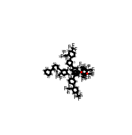 FC(F)(F)c1ccc(-c2ccc3c(c2)c2cc(-c4ccc(C(F)(F)F)cc4C(F)(F)F)ccc2n3-c2cc(-c3cccc(-c4ccccc4)n3)c(C(F)(F)F)cc2-n2c3ccc(-c4ccc(C(F)(F)F)cc4C(F)(F)F)cc3c3cc(-c4ccc(C(F)(F)F)cc4C(F)(F)F)ccc32)c(C(F)(F)F)c1